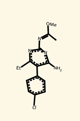 CCc1nc(N=C(C)OC)nc(N)c1-c1ccc(Cl)cc1